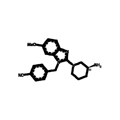 COc1ccc2nc(N3CCC[C@@H](N)C3)n(Cc3ccc(C#N)cc3)c2c1